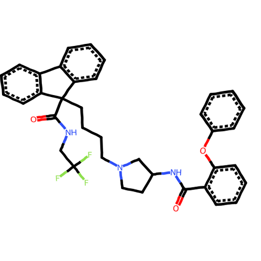 O=C(NC1CCN(CCCCC2(C(=O)NCC(F)(F)F)c3ccccc3-c3ccccc32)C1)c1ccccc1Oc1ccccc1